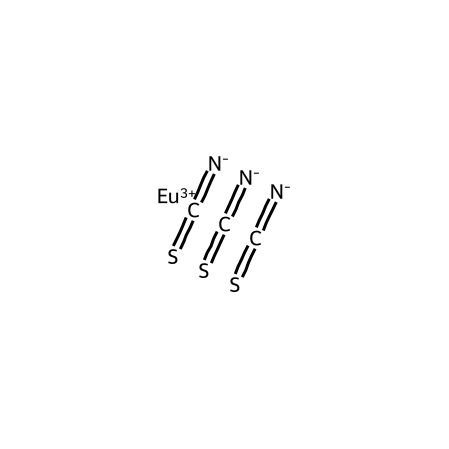 [Eu+3].[N-]=C=S.[N-]=C=S.[N-]=C=S